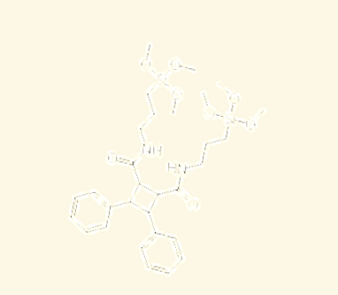 CO[Si](CCCNC(=O)C1C(C(=O)NCCC[Si](OC)(OC)OC)C(c2ccccc2)C1c1ccccc1)(OC)OC